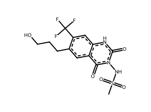 CS(=O)(=O)Nn1c(=O)[nH]c2cc(C(F)(F)F)c(CCCO)cc2c1=O